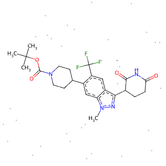 Cn1nc(C2CCC(=O)NC2=O)c2cc(C(F)(F)F)c(C3CCN(C(=O)OC(C)(C)C)CC3)cc21